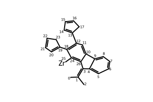 CC(C)=C1c2ccccc2-c2cc(C3=CC=CC3)c(C3=CC=CC3)[c]([Zr])c21